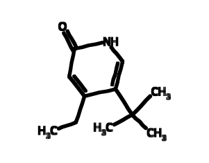 CCc1cc(=O)[nH]cc1C(C)(C)C